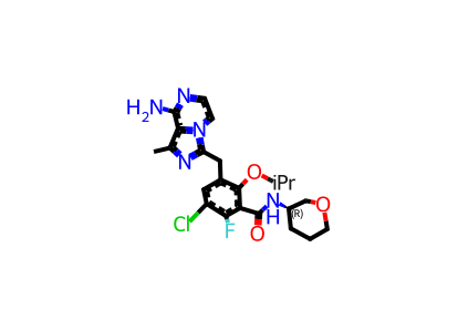 Cc1nc(Cc2cc(Cl)c(F)c(C(=O)N[C@@H]3CCCOC3)c2OC(C)C)n2ccnc(N)c12